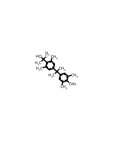 CC(=O)Oc1c(C)cc(C(C)(C)c2cc(C)c(C(C)(C)O)c(C)c2)cc1C